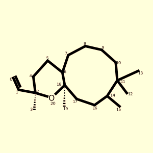 C=C[C@@]1(C)CCC2CCCCC(C)(C)C(C)CC[C@@]2(C)O1